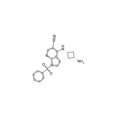 N#Cc1cnc2c(ccn2S(=O)(=O)c2ccccc2)c1N[C@H]1C[C@@H](N)C1